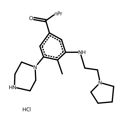 CCCC(=O)c1cc(NCCN2CCCC2)c(C)c(N2CCNCC2)c1.Cl